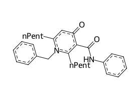 CCCCCc1cc(=O)c(C(=O)Nc2ccccc2)c(CCCCC)n1Cc1ccccc1